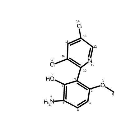 COc1ccc(N)c(O)c1-c1ncc(Cl)cc1Cl